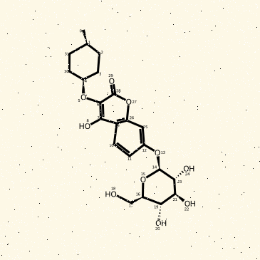 C[C@H]1CC[C@@H](Oc2c(O)c3ccc(O[C@@H]4O[C@H](CO)[C@@H](O)[C@H](O)[C@H]4O)cc3oc2=O)CC1